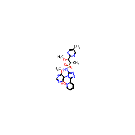 COc1ncnc(O)c1-n1c(NS(=O)(=O)[C@@H](C)[C@H](OC)c2ncc(C)cn2)nnc1C1=C=C=CC=N1